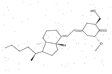 C=C1[C@H](CO)C/C(=C/C=C2\CCC[C@]3(C)C([C@@H](C)CCCC)CC[C@@H]23)C[C@H]1OC